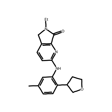 CCN1Cc2ccc(Nc3cc(C)ccc3C3CCOC3)nc2C1=O